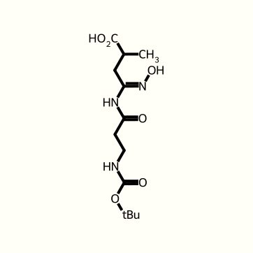 CC(CC(=NO)NC(=O)CCNC(=O)OC(C)(C)C)C(=O)O